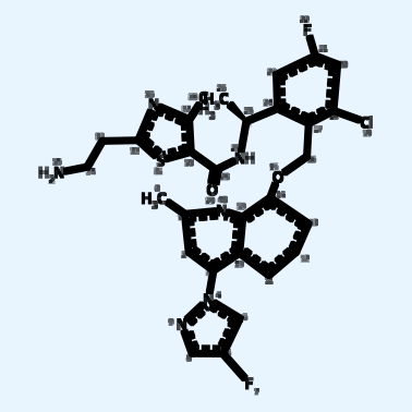 Cc1cc(-n2cc(F)cn2)c2cccc(OCc3c(Cl)cc(F)cc3[C@H](C)NC(=O)c3sc(CCN)nc3C)c2n1